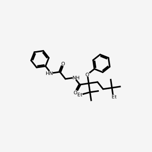 CCC(C)(C)CCC(Oc1ccccc1)(C(=O)NCC(=O)Nc1ccccc1)C(C)(C)CC